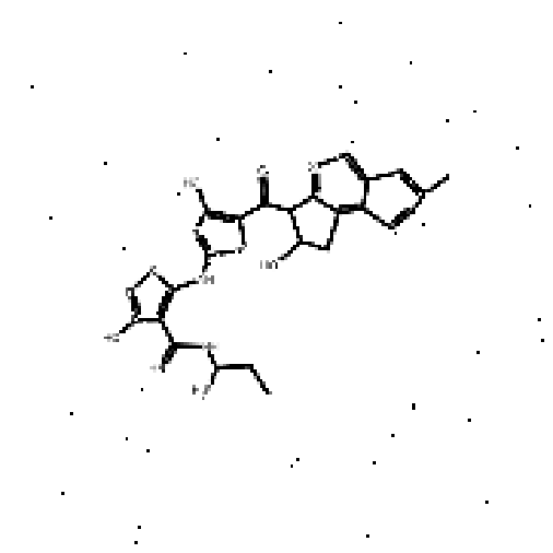 CCC(P)NC(=N)c1c(O)nsc1Nc1nc(O)c(C(=O)C2c3ncc4cc(C)ccc4c3CC2O)s1